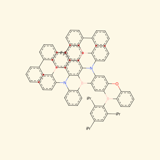 CC(C)c1cc(C(C)C)c(B2c3ccccc3Oc3cc4c(cc32)B2c3ccccc3N3c5ccccc5B(c5c(-c6ccccc6)cccc5-c5ccccc5)c5c3c2c2c(c5C(F)(F)F)B(c3c(-c5ccccc5)cccc3-c3ccccc3)c3ccccc3N42)c(C(C)C)c1